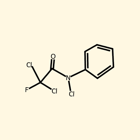 O=C(N(Cl)c1ccccc1)C(F)(Cl)Cl